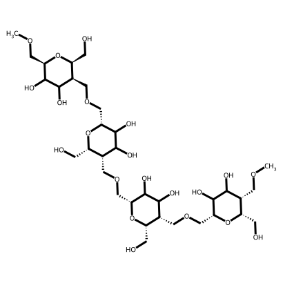 COC[C@H]1O[C@@H](CO)[C@@H](COC[C@H]2O[C@@H](CO)[C@@H](COC[C@H]3O[C@@H](CO)[C@@H](COC[C@H]4O[C@@H](CO)[C@@H](COC)C(O)C4O)C(O)C3O)C(O)C2O)C(O)C1O